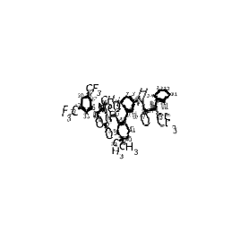 COc1ccc(NC(=O)[C@H](c2ccccc2)C(F)(F)F)cc1C1=C(CN2C(=O)O[C@H](c3cc(C(F)(F)F)cc(C(F)(F)F)c3)[C@@H]2C)CC(C)(C)CC1